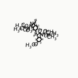 COc1ccc2c(c1)[C@]1(CC1c1ccc3c(I)nn(C(=O)OC(C)(C)C)c3c1)C(=O)N2C(=O)OC(C)(C)C